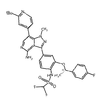 C[C@H](Oc1cc(-c2nn(C)c3c(-c4ccnc(C(C)(C)C)c4)cnc(N)c23)ccc1NS(=O)(=O)C(F)F)c1ccc(F)cc1